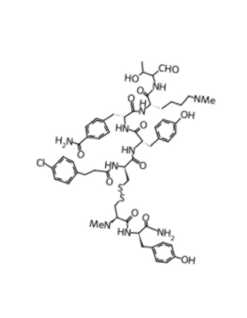 CNCCCC[C@H](NC(=O)[C@@H](Cc1ccc(C(N)=O)cc1)NC(=O)[C@H](Cc1ccc(O)cc1)NC(=O)[C@@H](CSSC[C@H](NC)C(=O)N[C@H](Cc1ccc(O)cc1)C(N)=O)NC(=O)CCc1ccc(Cl)cc1)C(=O)NC(C=O)C(C)O